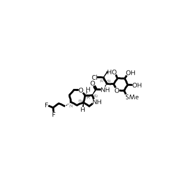 CSC1OC([C@H](NC(=O)[C@H]2NC[C@@H]3C[C@H](CCC(F)F)CCO[C@H]32)[C@H](C)Cl)C(O)C(O)C1O